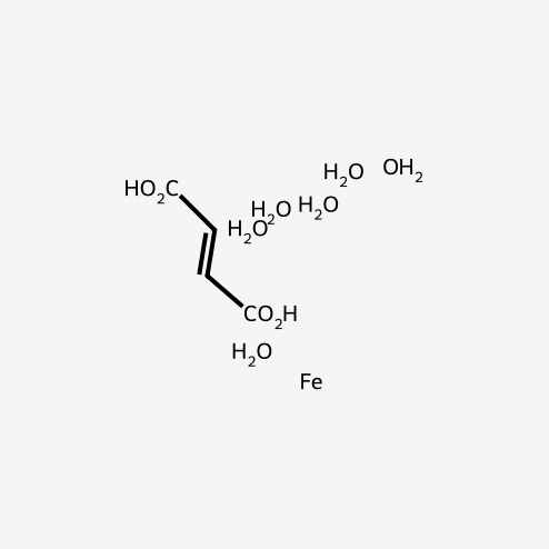 O.O.O.O.O.O.O=C(O)/C=C/C(=O)O.[Fe]